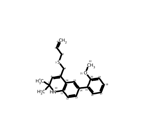 C=CCSCC1=CC(C)(C)Nc2ccc(-c3ccccc3OC)cc21